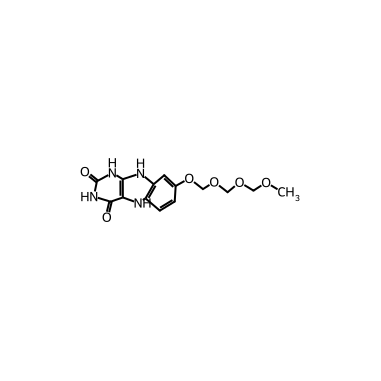 COCOCOCOc1ccc2c(c1)Nc1[nH]c(=O)[nH]c(=O)c1N2